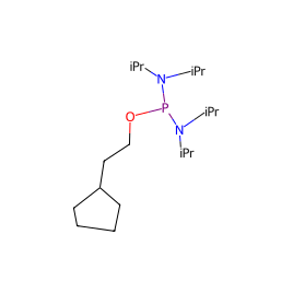 CC(C)N(C(C)C)P(OCCC1CCCC1)N(C(C)C)C(C)C